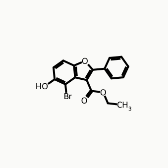 CCOC(=O)c1c(-c2ccccc2)oc2ccc(O)c(Br)c12